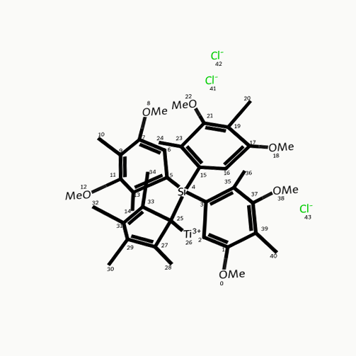 COc1cc([Si](c2cc(OC)c(C)c(OC)c2C)(c2cc(OC)c(C)c(OC)c2C)[C]2([Ti+3])C(C)=C(C)C(C)=C2C)c(C)c(OC)c1C.[Cl-].[Cl-].[Cl-]